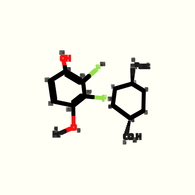 CCCCC[C@H]1CC[C@H](C(=O)O)CC1.CCOc1ccc(O)c(F)c1F